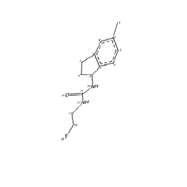 Cc1ccc2c(c1)CCC2NC(=O)NCCF